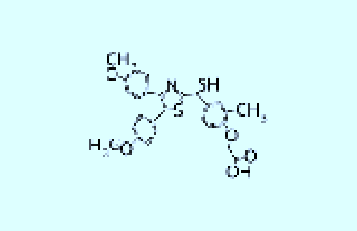 COc1ccc(-c2nc(C(S)c3ccc(OCC(=O)O)c(C)c3)sc2-c2ccc(OC)cc2)cc1